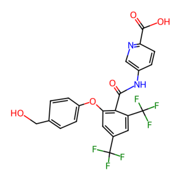 O=C(O)c1ccc(NC(=O)c2c(Oc3ccc(CO)cc3)cc(C(F)(F)F)cc2C(F)(F)F)cn1